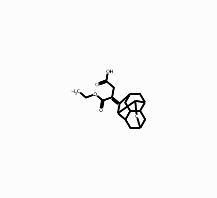 CCOC(=O)/C(CC(=O)O)=C1/C2CC3C4CC5CC3C1C(C5)C4C2